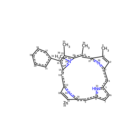 CC1=Cc2cc3ccc(cc4nc(cc5c(-c6ccccc6)c(C)c(c(C)c1n2)n5C)C=C4)[nH]3.[Zn]